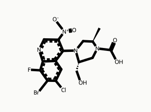 C[C@@H]1CN(c2c([N+](=O)[O-])cnc3c(F)c(Br)c(Cl)cc23)[C@@H](CO)CN1C(=O)O